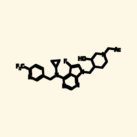 CC(=O)CN1CCC(Cn2cc(F)c3c(N(Cc4ccc(C(F)(F)F)nc4)C4CC4)ncnc32)C(O)C1